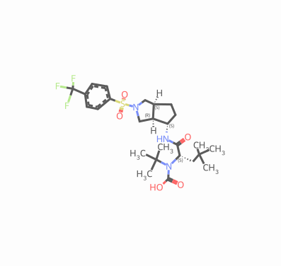 CC(C)(C)C[C@@H](C(=O)N[C@H]1CC[C@@H]2CN(S(=O)(=O)c3ccc(C(F)(F)F)cc3)C[C@@H]21)N(C(=O)O)C(C)(C)C